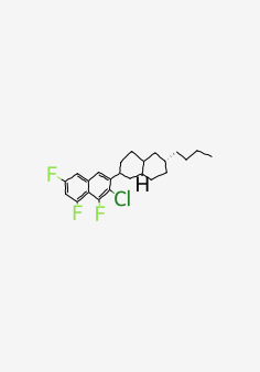 CCCC[C@@H]1CC[C@@H]2CC(c3cc4cc(F)cc(F)c4c(F)c3Cl)CCC2C1